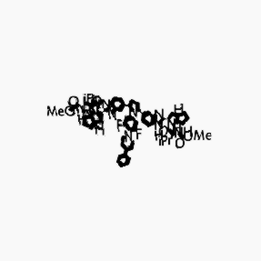 COC(=O)N[C@H](C(=O)N1[C@H](c2nc3cc([C@H]4CC[C@H](c5ccc6[nH]c([C@@H]7C[C@@H]8CCC[C@@H]8N7C(=O)[C@@H](NC(=O)OC)C(C)C)nc6c5)N4c4cc(F)c(N5CCC(c6ccccc6)CC5)c(F)c4)ccc3[nH]2)C[C@@H]2CCC[C@@H]21)C(C)C